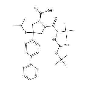 CC(C)S[C@@]1(c2ccc(-c3ccccc3)cc2)C[C@@H](C(=O)O)N(C(=O)[C@@H](NC(=O)OC(C)(C)C)C(C)(C)C)C1